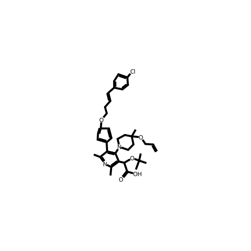 C=CCOC1(C)CCN(c2c(-c3ccc(OCCC=Cc4ccc(Cl)cc4)cc3)c(C)nc(C)c2C(OC(C)(C)C)C(=O)O)CC1